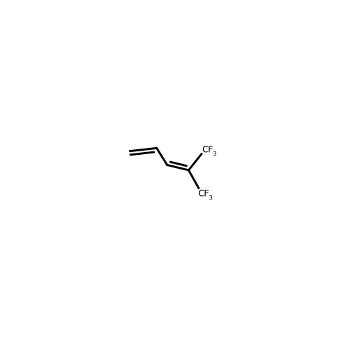 C=CC=C(C(F)(F)F)C(F)(F)F